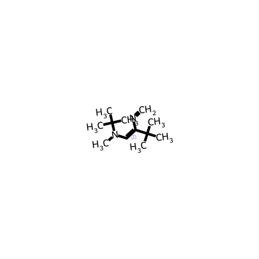 C=N/C(=C\N(C)C(C)(C)C)C(C)(C)C